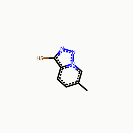 Cc1ccc2c(S)nnn2c1